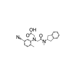 Cc1ccc(C#N)cc1N(CC(=O)O)CC(=O)N(C)C1Cc2ccccc2C1